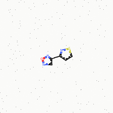 [c]1csnc1-c1cnon1